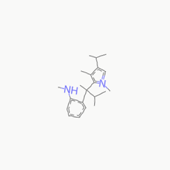 CNc1ccccc1C(C)(c1c(C)c(C(C)C)cn1C)C(C)C